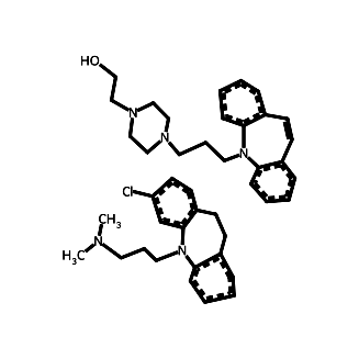 CN(C)CCCN1c2ccccc2CCc2ccc(Cl)cc21.OCCN1CCN(CCCN2c3ccccc3C=Cc3ccccc32)CC1